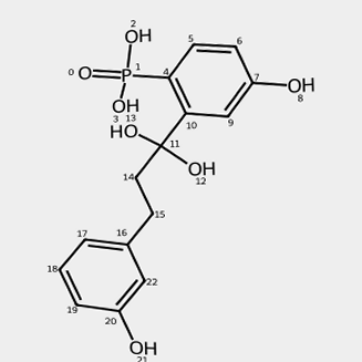 O=P(O)(O)c1ccc(O)cc1C(O)(O)CCc1cccc(O)c1